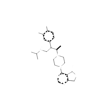 C=C(C(CNC(C)C)c1ccc(Cl)c(F)c1)N1CCN(c2ncnc3c2[C@H](C)OC3)CC1